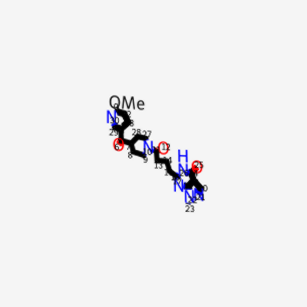 COc1ccc(C(=O)C2CCN(C(=O)CCCc3nc4c(cnn4C)c(=O)[nH]3)CC2)cn1